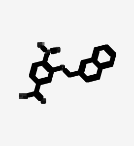 O=C(O)c1ccc([N+](=O)[O-])c(OCc2ccc3ccccc3c2)c1